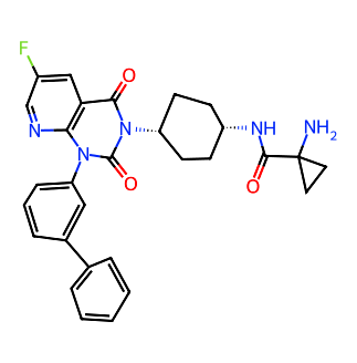 NC1(C(=O)N[C@H]2CC[C@@H](n3c(=O)c4cc(F)cnc4n(-c4cccc(-c5ccccc5)c4)c3=O)CC2)CC1